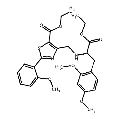 CCOC(=O)c1sc(-c2ccccc2OC)nc1CNC(Cc1ccc(OC)cc1OC)C(=O)OCC